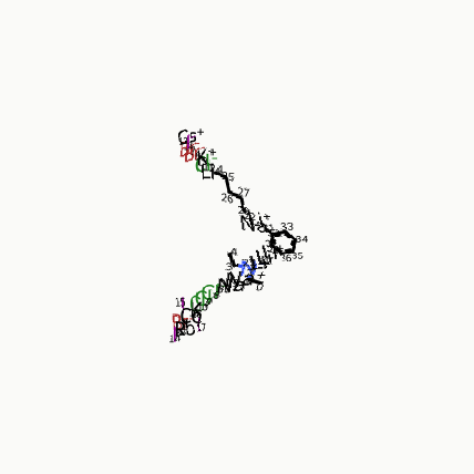 CC[N-]CC.[Br-].[Br-].[Br-].[Cl-].[Cl-].[Cl-].[Cl-].[Cs+].[I-].[I-].[I][Co][I].[K+].[K+].[Li+].[Li+].[Li+].[Li+].[Li][CH2]CCC.[Na+].[Na+].[Na][c]1ccccc1.[Rb+]